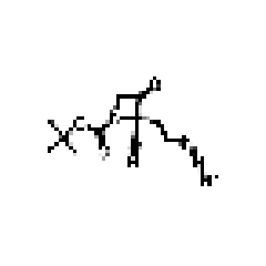 CC(C)(C)OC(=O)N1CC(=O)C1(C#N)CCN=[N+]=[N-]